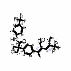 C=N/C(=C\C(CO)=C(/C)c1ccc(C2(C(=O)Nc3ccc(C(F)(F)F)nc3)COC2)cc1)C(F)(F)F